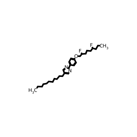 CCCCCCCCCCCc1cnc(-c2ccc(OCC(F)CCCC(F)CCC)cc2)nc1